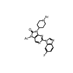 CC(=O)N1CCC(n2c(=O)n(C(C)=O)c3cnc(-n4cnc5ccc(F)cc54)nc32)CC1